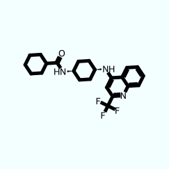 O=C(N[C@H]1CC[C@@H](Nc2cc(C(F)(F)F)nc3ccccc23)CC1)C1CCCCC1